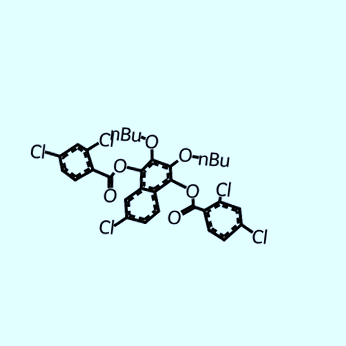 CCCCOc1c(OCCCC)c(OC(=O)c2ccc(Cl)cc2Cl)c2cc(Cl)ccc2c1OC(=O)c1ccc(Cl)cc1Cl